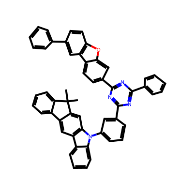 CC1(C)c2ccccc2-c2cc3c4ccccc4n(-c4cccc(-c5nc(-c6ccccc6)nc(-c6ccc7c(c6)oc6ccc(-c8ccccc8)cc67)n5)c4)c3cc21